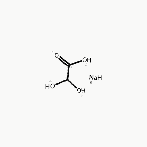 O=C(O)C(O)O.[NaH]